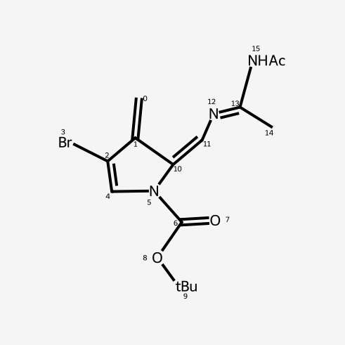 C=c1c(Br)cn(C(=O)OC(C)(C)C)/c1=C/N=C(\C)NC(C)=O